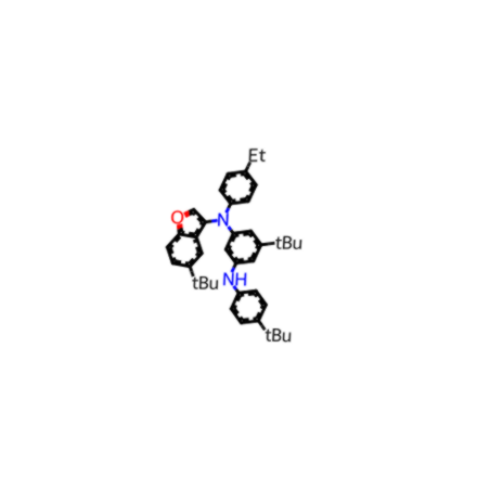 CCc1ccc(N(c2cc(Nc3ccc(C(C)(C)C)cc3)cc(C(C)(C)C)c2)c2coc3ccc(C(C)(C)C)cc23)cc1